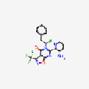 Nc1cccnc1-c1nc2onc(C(F)(F)F)c2c(=O)n1C(F)Cc1ccccc1